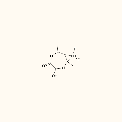 CC1OC(=O)C(O)OC2(C)C1[PH]2(F)F